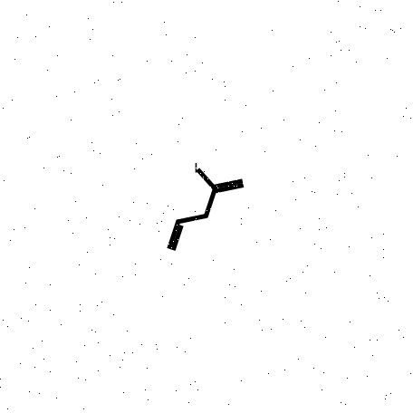 C=CCC(=C)I